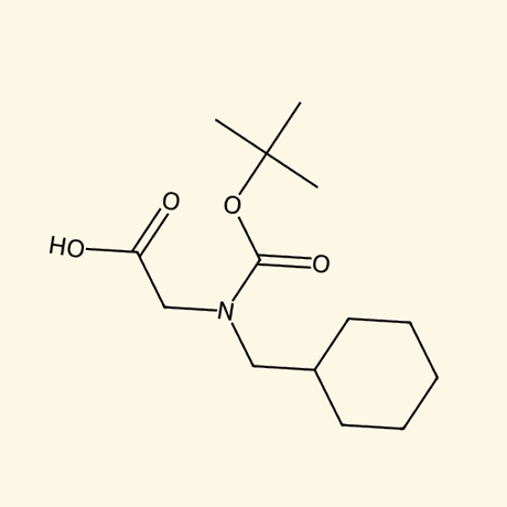 CC(C)(C)OC(=O)N(CC(=O)O)CC1CCCCC1